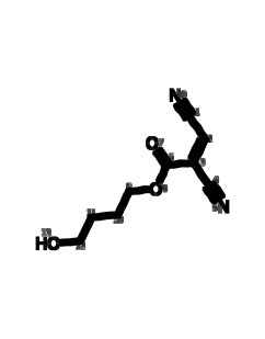 N#CC=C(C#N)C(=O)OCCCCO